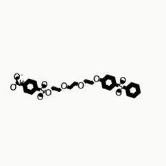 O=[N+]([O-])c1ccc(S(=O)(=O)OCCOCCOCCOc2ccc(S(=O)(=O)c3ccccc3)cc2)cc1